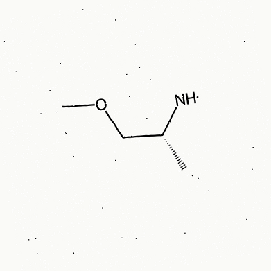 COC[C@@H](C)[NH]